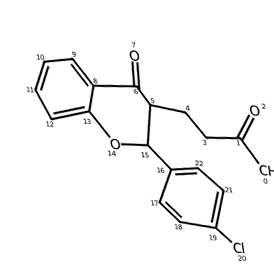 CC(=O)CCC1C(=O)c2ccccc2OC1c1ccc(Cl)cc1